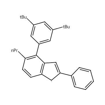 CCCc1ccc2c(c1-c1cc(C(C)(C)C)cc(C(C)(C)C)c1)C=C(c1ccccc1)[CH]2